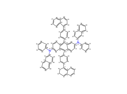 C1=c2ccccc2=C(c2ccc(-c3c4ccc(N(c5ccccc5)c5ccc6ccccc6c5)cc4c(-c4ccc(-c5cccc6ccccc56)cc4)c4ccc(N(c5ccccc5)c5ccc6ccccc6c5)cc34)cc2)CC1